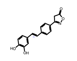 O=C1CC(c2ccc(/C=C/c3ccc(O)c(O)c3)cc2)=NO1